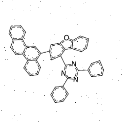 c1ccc(-c2nc(-c3ccccc3)nc(-c3cc(-c4cc5c6ccccc6ccc5c5ccccc45)cc4oc5ccccc5c34)n2)cc1